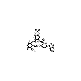 COc1ccc(C2=NOC3COCC23)cc1C(=O)Nc1cc2c(cc1C(=O)Nc1ccc(F)c(C(F)(F)F)c1)OC(F)(F)O2